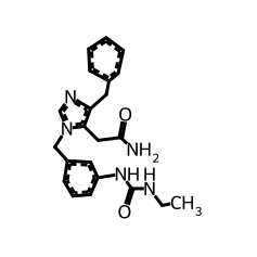 CCNC(=O)Nc1cccc(Cn2cnc(Cc3ccccc3)c2CC(N)=O)c1